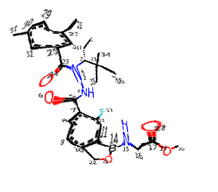 CC[C@@H](N(NC(=O)c1ccc2c(c1F)B(NCC(=O)OC)OC2)C(=O)c1cc(C)cc(C)c1)C(C)(C)C